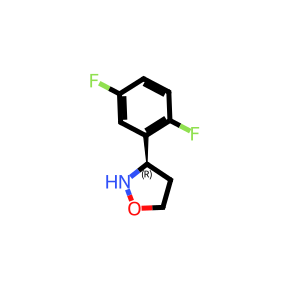 Fc1ccc(F)c([C@H]2CCON2)c1